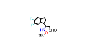 CC(C)(C)ONC(CC=O)C1CCc2cc(F)c(F)cc21